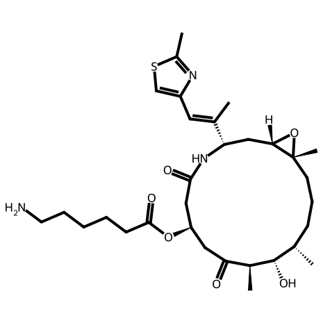 C/C(=C\c1csc(C)n1)[C@@H]1C[C@@H]2O[C@]2(C)CCC[C@H](C)[C@H](O)[C@@H](C)C(=O)C[C@@H](OC(=O)CCCCCN)CC(=O)N1